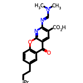 CC(C)CCc1ccc2oc3nc(N=CN(C)C)c(C(=O)O)cc3c(=O)c2c1